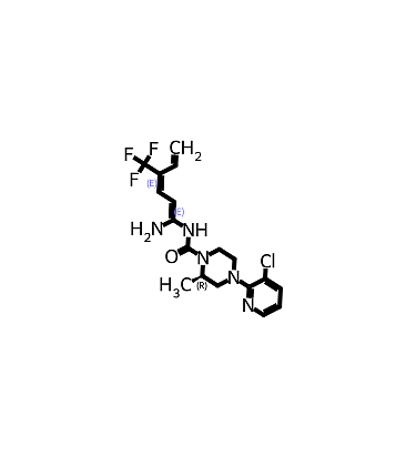 C=C/C(=C\C=C(/N)NC(=O)N1CCN(c2ncccc2Cl)C[C@H]1C)C(F)(F)F